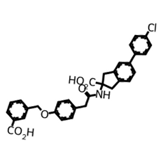 O=C(Cc1ccc(OCc2cccc(C(=O)O)c2)cc1)NC1(C(=O)O)Cc2ccc(-c3ccc(Cl)cc3)cc2C1